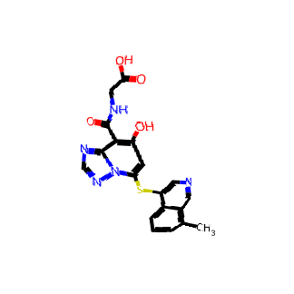 Cc1cccc2c(Sc3cc(O)c(C(=O)NCC(=O)O)c4ncnn34)cncc12